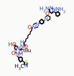 Cc1ncsc1-c1ccc(CNC(=O)[C@@H]2C[C@@H](O)CN2C(=O)[C@@H](NC(=O)CCCCCCCCC(=O)N2CCN(c3ccc(N4CCCC(Oc5cc(-c6ccccc6N)nnc5N)C4)cc3)CC2)C(C)(C)C)cc1